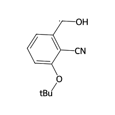 CC(C)(C)Oc1cccc([CH]O)c1C#N